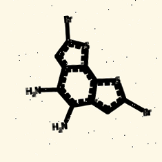 Nc1c(N)c2cc(Br)sc2c2sc(Br)cc12